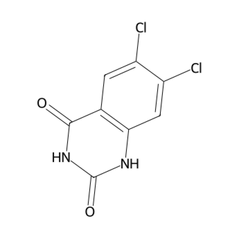 O=c1[nH]c(=O)c2cc(Cl)c(Cl)cc2[nH]1